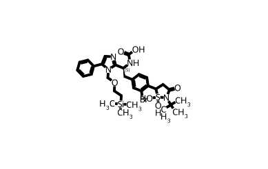 CC(C)(C)N1C(=O)CC(c2ccc(C[C@H](NC(=O)O)c3ncc(-c4ccccc4)n3COCC[Si](C)(C)C)cc2Br)S1(O)O